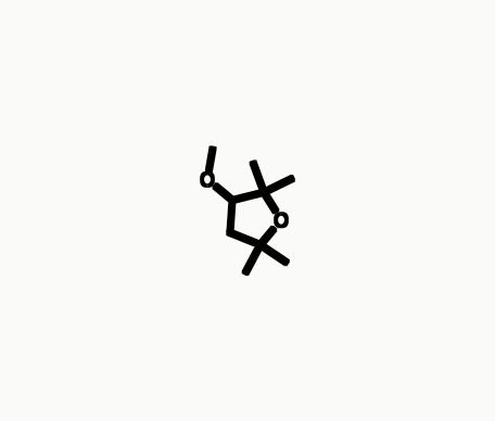 COC1CC(C)(C)OC1(C)C